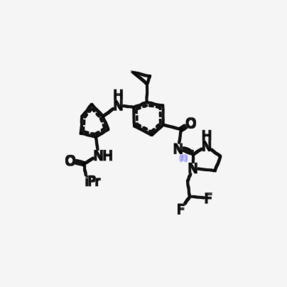 CC(C)C(=O)Nc1cccc(Nc2ccc(C(=O)/N=C3\NCCN3CC(F)F)cc2C2CC2)c1